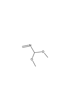 C=NC(OC)OC